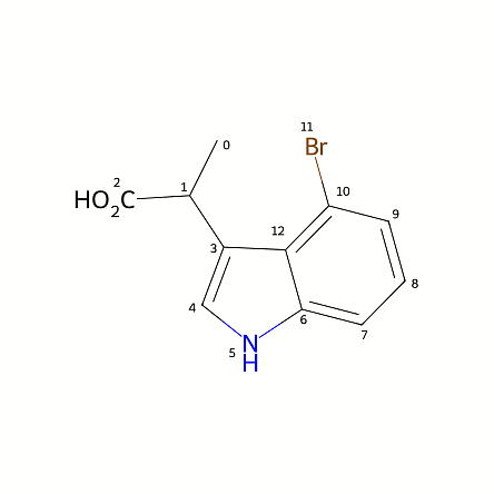 CC(C(=O)O)c1c[nH]c2cccc(Br)c12